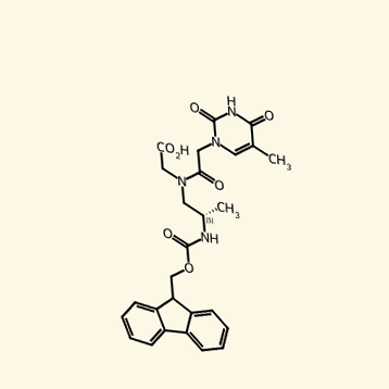 Cc1cn(CC(=O)N(CC(=O)O)C[C@H](C)NC(=O)OCC2c3ccccc3-c3ccccc32)c(=O)[nH]c1=O